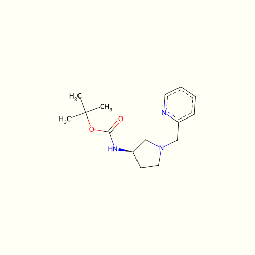 CC(C)(C)OC(=O)N[C@@H]1CCN(Cc2ccccn2)C1